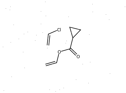 C=CCl.C=COC(=O)C1CC1